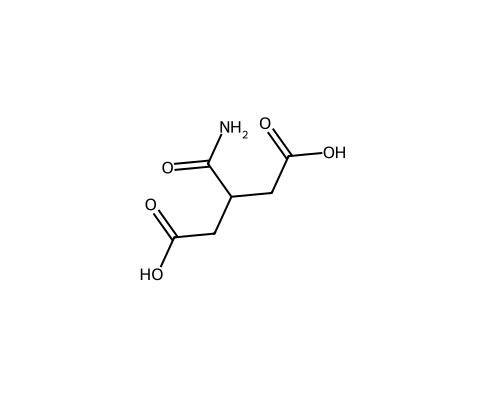 NC(=O)C(CC(=O)O)CC(=O)O